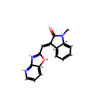 CN1C(=O)/C(=C/c2nc3ncccc3o2)c2ccccc21